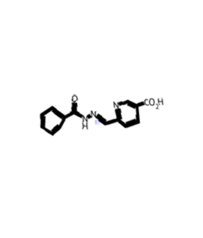 O=C(O)c1ccc(/C=N/NC(=O)c2ccccc2)nc1